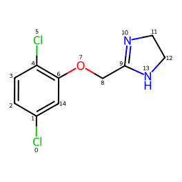 Clc1ccc(Cl)c(OCC2=NCCN2)c1